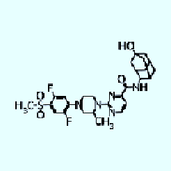 CC1CN(c2cc(F)c(S(C)(=O)=O)cc2F)CCN1c1nccc(C(=O)NC2C3CC4CC2CC(O)(C4)C3)n1